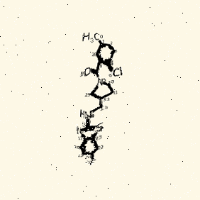 Cc1ccc(Cl)c(C(=O)N2CC[C@@H](CNc3nc4ccc(F)cc4s3)C2)c1